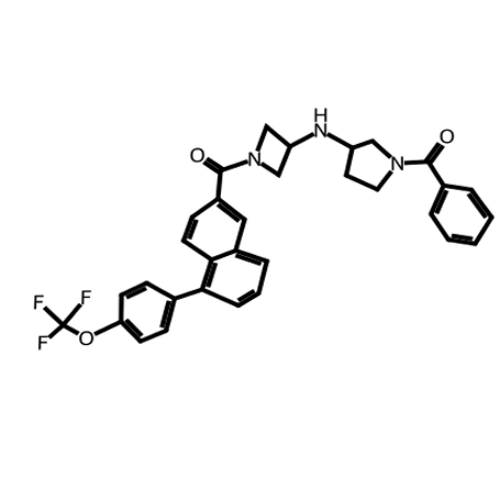 O=C(c1ccccc1)N1CCC(NC2CN(C(=O)c3ccc4c(-c5ccc(OC(F)(F)F)cc5)cccc4c3)C2)C1